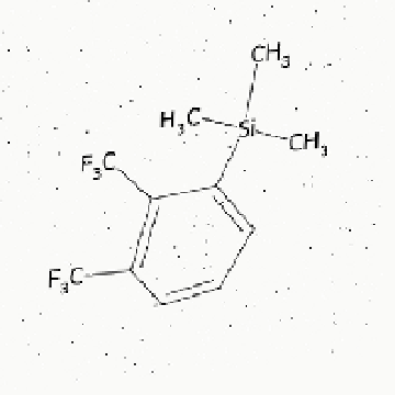 C[Si](C)(C)c1cc[c]c(C(F)(F)F)c1C(F)(F)F